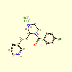 Cl.Cl.O=C(c1ccc(Br)cc1)N1CCNCC1COc1cccnc1